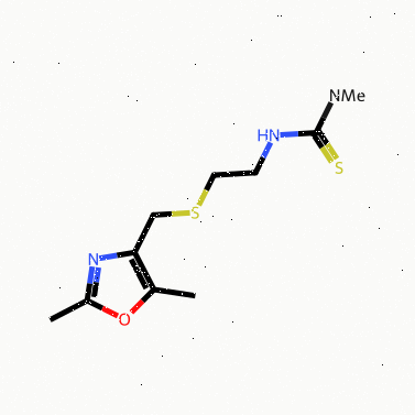 CNC(=S)NCCSCc1nc(C)oc1C